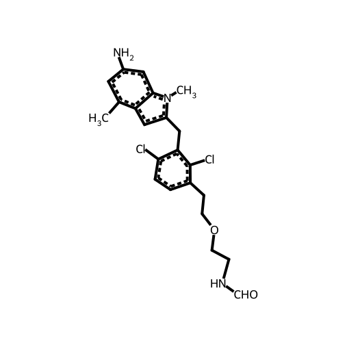 Cc1cc(N)cc2c1cc(Cc1c(Cl)ccc(CCOCCNC=O)c1Cl)n2C